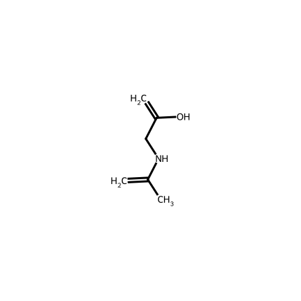 C=C(O)CNC(=C)C